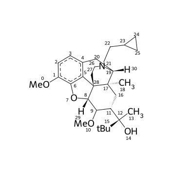 COc1ccc2c3c1O[C@H]1C(OC)[C@@H]([C@](C)(O)C(C)(C)C)C[C@]4(C)[C@@H](C2)N(CC2CC2)CC[C@]314